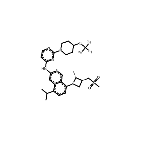 [2H]C([2H])([2H])OC1CCN(c2nccc(Nc3cc4c(C(C)C)ccc(N5C[C@H](CS(C)(=O)=O)[C@H]5C)c4cn3)n2)CC1